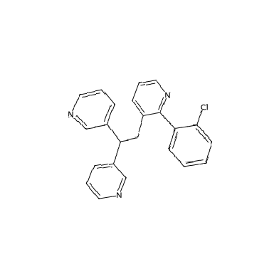 Clc1ccccc1-c1ncccc1CC(c1cccnc1)c1cccnc1